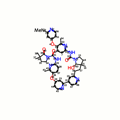 CNc1cc(Oc2ccc(NC(=O)N3CCC(C)(CCc4cc(-c5cc(Oc6ccc(NC(=O)N7CCC(C)(C)C7=O)nc6C)ccn5)ccn4)C3O)nc2C)ccn1